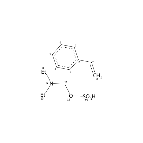 C=Cc1ccccc1.CCN(CC)COS(=O)(=O)O